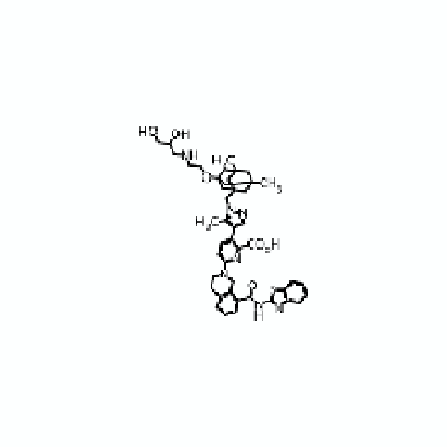 Cc1c(-c2ccc(N3CCc4cccc(C(=O)Nc5nc6ccccc6s5)c4C3)nc2C(=O)O)cnn1CC12CC3(C)CC(C)(C1)CC(OCCNCC(O)CO)(C3)C2